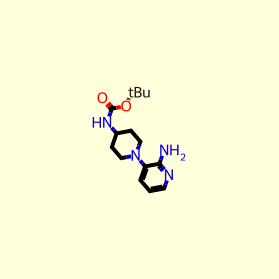 CC(C)(C)OC(=O)NC1CCN(c2cccnc2N)CC1